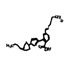 CCCCC=Cc1ccc(C(=O)O)c(-c2ccc(C3CCC(CCC)CC3)cc2)c1